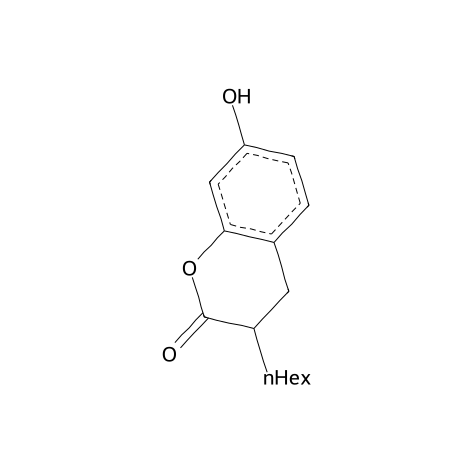 CCCCCCC1Cc2ccc(O)cc2OC1=O